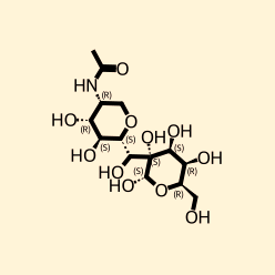 CC(=O)N[C@@H]1CO[C@H](C(O)[C@]2(O)[C@@H](O)O[C@H](CO)[C@H](O)[C@@H]2O)[C@@H](O)[C@@H]1O